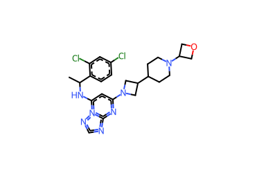 CC(Nc1cc(N2CC(C3CCN(C4COC4)CC3)C2)nc2ncnn12)c1ccc(Cl)cc1Cl